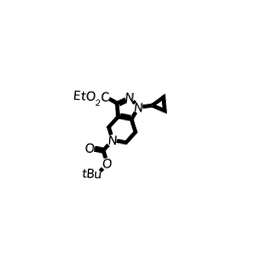 CCOC(=O)c1nn(C2CC2)c2c1CN(C(=O)OC(C)(C)C)CC2